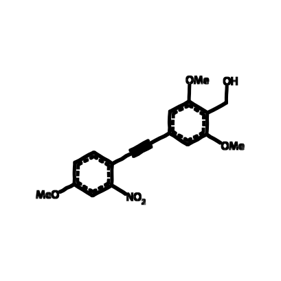 COc1ccc(C#Cc2cc(OC)c(CO)c(OC)c2)c([N+](=O)[O-])c1